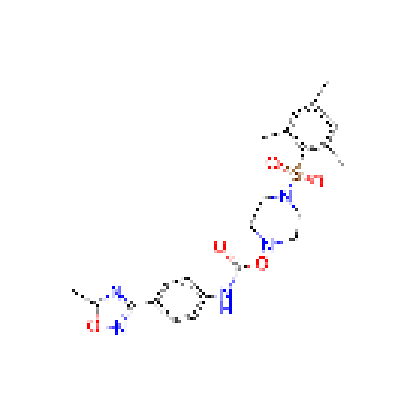 Cc1cc(C)c(S(=O)(=O)N2CCN(OC(=O)Nc3ccc(-c4noc(C)n4)cc3)CC2)c(C)c1